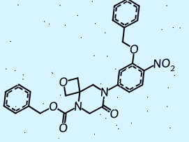 O=C1CN(C(=O)OCc2ccccc2)C2(COC2)CN1c1ccc([N+](=O)[O-])c(OCc2ccccc2)c1